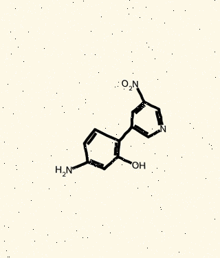 Nc1ccc(-c2cncc([N+](=O)[O-])c2)c(O)c1